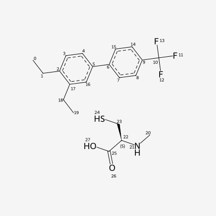 CCc1ccc(-c2ccc(C(F)(F)F)cc2)cc1CC.CN[C@H](CS)C(=O)O